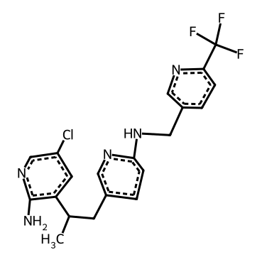 CC(Cc1ccc(NCc2ccc(C(F)(F)F)nc2)nc1)c1cc(Cl)cnc1N